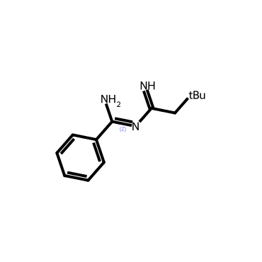 CC(C)(C)CC(=N)/N=C(\N)c1ccccc1